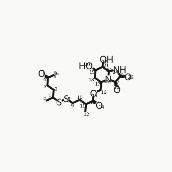 CC(CCC(=O)I)SSCCC(C)C(=O)OCC1CC(O)C(O)C2NC(=O)C(=O)N12